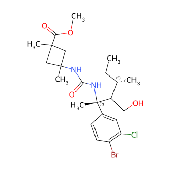 CC[C@H](C)C(CO)[C@@](C)(NC(=O)NC1(C)CC(C)(C(=O)OC)C1)c1ccc(Br)c(Cl)c1